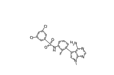 Cn1cc(-c2cccc(NS(=O)(=O)c3cc(Cl)cc(Cl)c3)c2F)c2c(N)ncnc21